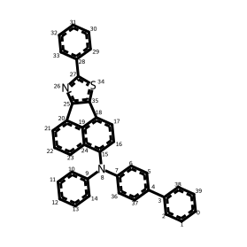 c1ccc(-c2ccc(N(c3ccccc3)c3ccc4c5c(cccc35)-c3nc(-c5ccccc5)sc3-4)cc2)cc1